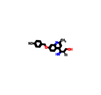 CC[C@@H](CO)C(=N)c1cc(C)nc2cc(OCc3ccc(C#N)cc3)ccc12